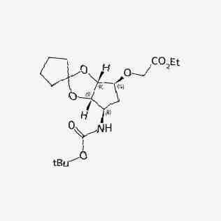 CCOC(=O)CO[C@H]1C[C@@H](NC(=O)OC(C)(C)C)[C@@H]2OC3(CCCC3)O[C@@H]21